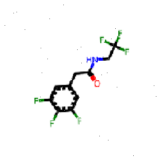 O=C(Cc1cc(F)c(F)c(F)c1)NCC(F)(F)F